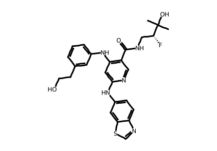 CC(C)(O)[C@H](F)CNC(=O)c1cnc(Nc2ccc3ncsc3c2)cc1Nc1cccc(CCO)c1